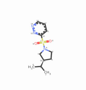 CC(C)[C@@H]1CCN(S(=O)(=O)c2cccnn2)C1